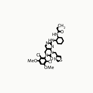 C=CC(=O)NC1CCCCC1Nc1ncc2c(n1)N(Cc1cscn1)C(=O)N(c1c(Cl)c(OC)cc(OC)c1Cl)C2